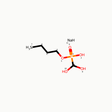 O=P(O)(OCCC[SiH3])C(O)O.[NaH]